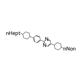 CCCCCCCCCC1CCC(c2cnc(-c3ccc(C4CCC(CCCCCCC)CC4)cc3)nc2)CC1